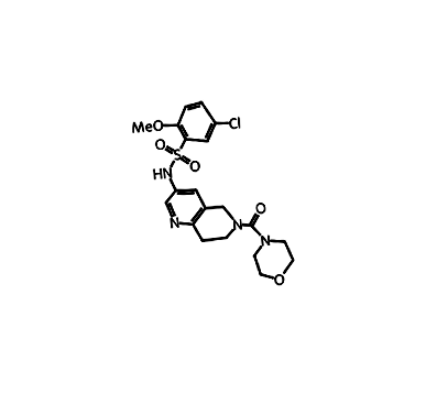 COc1ccc(Cl)cc1S(=O)(=O)Nc1cnc2c(c1)CN(C(=O)N1CCOCC1)CC2